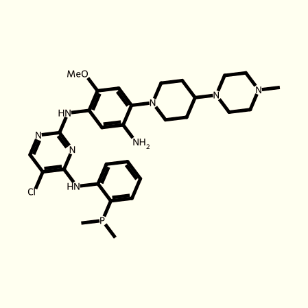 COc1cc(N2CCC(N3CCN(C)CC3)CC2)c(N)cc1Nc1ncc(Cl)c(Nc2ccccc2P(C)C)n1